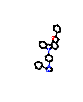 c1ccc(-c2cc3ccc4c(c5ccccc5n4-c4ccc(-n5ccnc5-c5ccccc5)cc4)c3o2)cc1